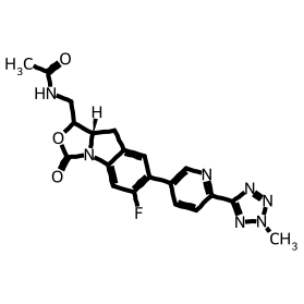 CC(=O)NCC1OC(=O)N2c3cc(F)c(-c4ccc(-c5nnn(C)n5)nc4)cc3C[C@@H]12